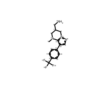 CN1CC(CN)Cn2ncc(-c3ccc(C(F)(F)F)cc3)c21